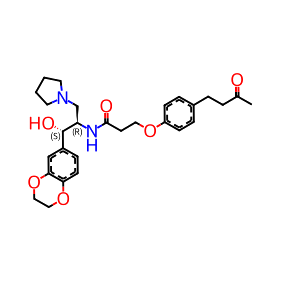 CC(=O)CCc1ccc(OCCC(=O)N[C@H](CN2CCCC2)[C@@H](O)c2ccc3c(c2)OCCO3)cc1